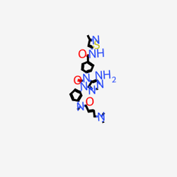 Cc1cc(NC(=O)c2ccc(-n3c(=O)n(-c4cccc(N(C)C(=O)C=CCN(C)C)c4)c4ncnc(N)c43)cc2)sn1